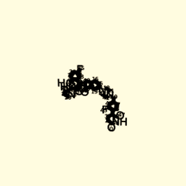 O=C1CCC(c2ccc(CN3CCN(c4ccc5c(c4)C(=O)N(C(C(=O)Nc4nccs4)c4cc(F)ccc4O)C5)CC3)cc2F)C(=O)N1